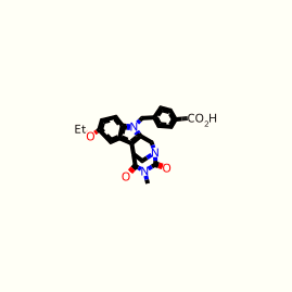 CCOc1ccc2c(c1)c1c(n2Cc2ccc(C(=O)O)cc2)CN2CC1C(=O)N(C)C2=O